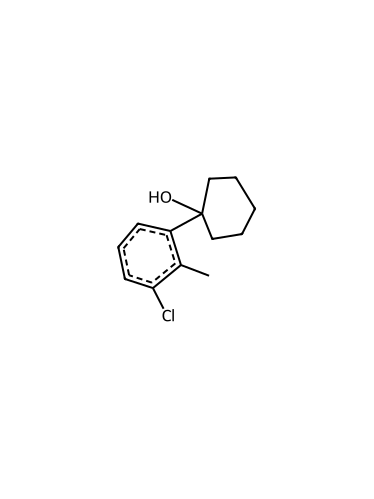 Cc1c(Cl)cccc1C1(O)CCCCC1